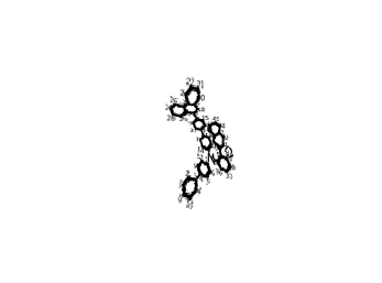 c1ccc(-c2ccc(N(c3ccc(-c4ccc(-c5cc6ccccc6c6ccccc56)cc4)cc3)c3cccc4oc5cc6ccccc6cc5c34)cc2)cc1